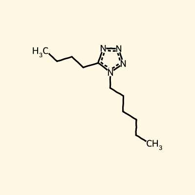 CCCCCCn1nnnc1CCCC